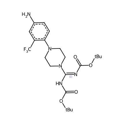 CC(C)(C)OC(=O)/N=C(/NC(=O)OC(C)(C)C)N1CCN(c2ccc(N)cc2C(F)(F)F)CC1